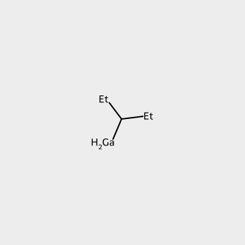 CC[CH]([GaH2])CC